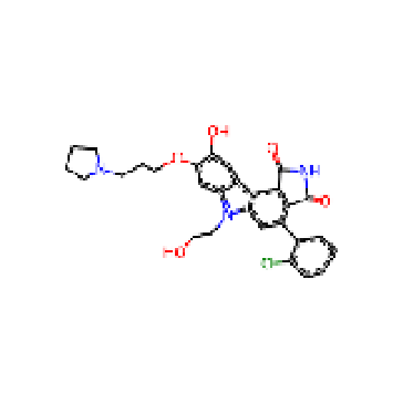 O=C1NC(=O)c2c1c(-c1ccccc1Cl)cc1c2c2cc(O)c(OCCCN3CCCC3)cc2n1CCO